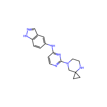 c1cc(Nc2ccc3[nH]ncc3c2)nc(N2CCNC3(CC3)C2)n1